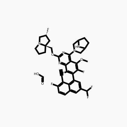 C#Cc1c(F)ccc2cc(C(F)F)cc(-c3c(F)c(OC)c4c(N5CC6CCC(C5)N6)nc(OC[C@@]56CCCN5C[C@H](F)C6)nc4c3F)c12.O=CO